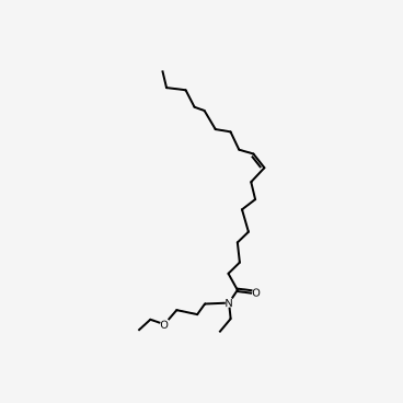 CCCCCCCC/C=C\CCCCCCCC(=O)N(CC)CCCOCC